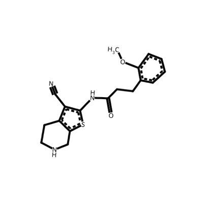 COc1ccccc1CCC(=O)Nc1sc2c(c1C#N)CCNC2